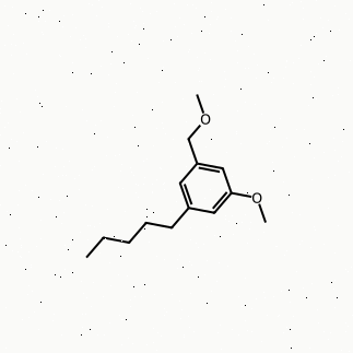 CCCCCc1cc(COC)cc(OC)c1